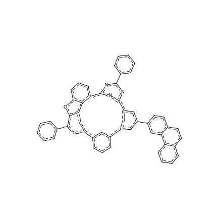 c1ccc(-c2nc3nc(n2)c2cccc4oc5c(-c6ccccc6)cc(cc5c42)c2cccc(c2)c2cc(-c4ccc5ccc6ccccc6c5c4)cc3c2)cc1